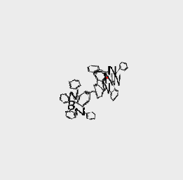 c1ccc(-c2nc(-c3ccccc3)nc(-c3ccccc3-n3c4ccccc4c4cc(-c5cc6c7c(c5)N(c5ccccc5)c5ccccc5B7c5ccccc5N6c5ccccc5)ccc43)n2)cc1